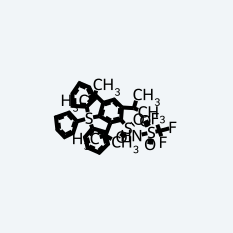 CC(C)c1cc(C(C)C)c(S(=O)(=O)NS(=O)(=O)C(F)(F)F)c(C(C)C)c1S(c1ccccc1)(c1ccccc1)c1ccccc1